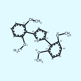 COc1cccc(OC)c1-c1ccc(-c2c(OC)cccc2OC)s1